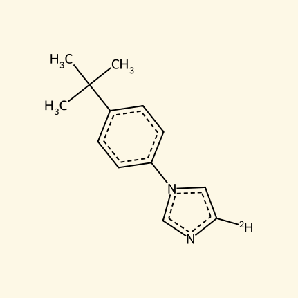 [2H]c1cn(-c2ccc(C(C)(C)C)cc2)cn1